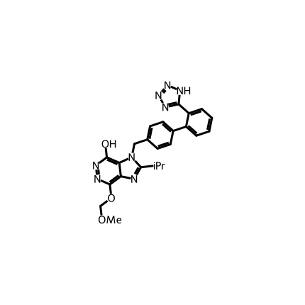 COCOc1nnc(O)c2c1nc(C(C)C)n2Cc1ccc(-c2ccccc2-c2nnn[nH]2)cc1